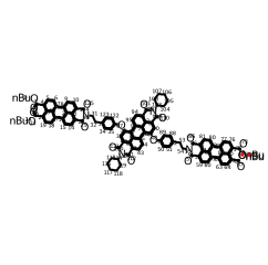 CCCCOC(=O)c1ccc2c3ccc4c5c(ccc(c6ccc(C(=O)OCCCC)c1c26)c53)C(=O)N(CCc1ccc(Oc2cc3c5c(ccc6c7c(Oc8ccc(CCN9C(=O)c%10ccc%11c%12ccc(C(=O)OCCCC)c%13c(C(=O)OCCCC)ccc(c%14ccc(c%10c%11%14)C9=O)c%13%12)cc8)cc8c9c(ccc(c2c56)c97)C(=O)N(C2CCCCC2)C8=O)C(=O)N(C2CCCCC2)C3=O)cc1)C4=O